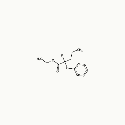 CCCC(F)(Oc1ccccc1)C(=O)OCC